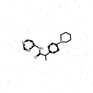 CC(C(=O)Nc1ccncn1)c1ccc(N2CCCCC2)cc1